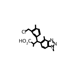 Cc1ccc(C(c2ccc3c(nnn3C)c2C)C(C)C(=O)O)cc1CCl